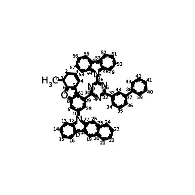 CC1CC=Cc2c1oc1cc(-n3c4ccccc4c4cc5ccccc5cc43)cc(-c3nc(-c4cccc(-c5ccccc5)c4)nc(-n4c5ccccc5c5ccccc54)n3)c21